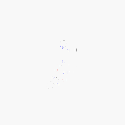 CC(C)[C@H](NC(=O)c1nc2ccccc2nc1O)C(=O)N1CCC(N(C)c2ccc(F)cn2)CC1